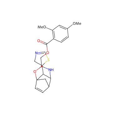 COc1ccc(C(=O)OCC2NC3C4C=CC(C4)(O2)C3C2CN=CS2)c(OC)c1